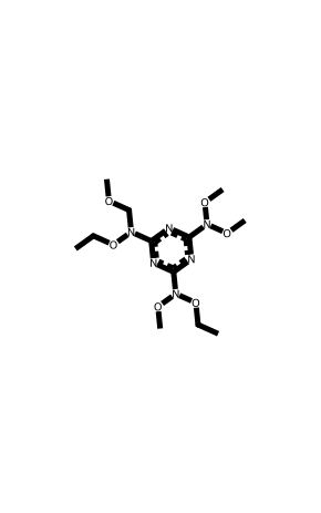 CCON(COC)c1nc(N(OC)OC)nc(N(OC)OCC)n1